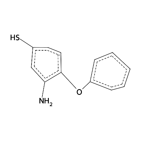 Nc1cc(S)ccc1Oc1ccccc1